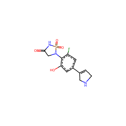 O=C1CN(c2c(O)cc(C3=CCNC3)cc2F)S(=O)(=O)N1